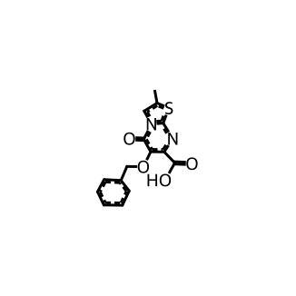 Cc1cn2c(=O)c(OCc3ccccc3)c(C(=O)O)nc2s1